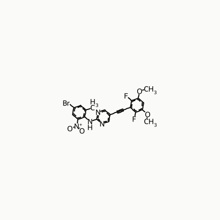 COc1cc(OC)c(F)c(C#Cc2cnc(Nc3c(C)cc(Br)cc3[N+](=O)[O-])nc2)c1F